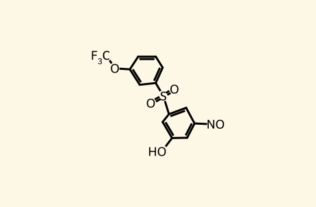 O=Nc1cc(O)cc(S(=O)(=O)c2cccc(OC(F)(F)F)c2)c1